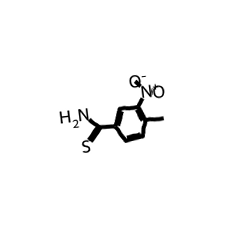 Cc1ccc(C(N)=S)cc1[N+](=O)[O-]